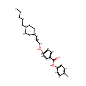 CCCCCC1CCC(/C=C/COc2ccc(C(=O)Oc3ccc(C)cc3)cc2)CC1